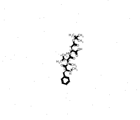 CN[C@@H](Cc1ccccc1)C(=O)N(C)[C@H](C(=O)N[C@@H](CC(=O)OC(C)(C)C)C(=O)O)C(C)C